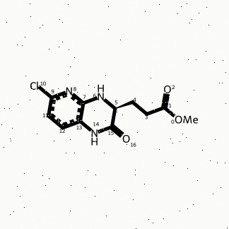 COC(=O)CC[C@@H]1Nc2nc(Cl)ccc2NC1=O